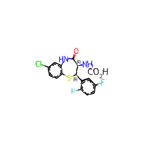 O=C(O)N[C@@H]1C(=O)Nc2cc(Cl)ccc2S[C@@H]1c1cc(F)ccc1F